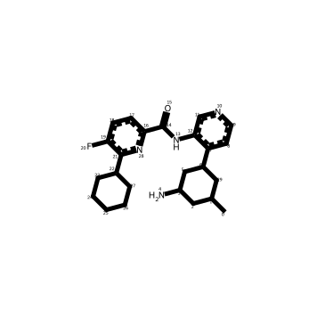 CC1CC(N)CC(c2ccncc2NC(=O)c2ccc(F)c(C3CCCCC3)n2)C1